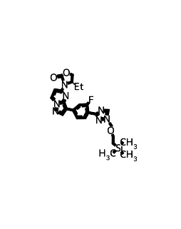 CC[C@H]1COC(=O)N1c1ccn2ncc(-c3ccc(-c4ncn(COCC[Si](C)(C)C)n4)c(F)c3)c2n1